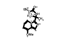 COc1cccn2c(C(C)(C)NC(=O)OC(C)(C)C)ncc12